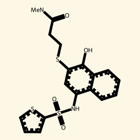 CNC(=O)CCSc1cc(NS(=O)(=O)c2cccs2)c2ccccc2c1O